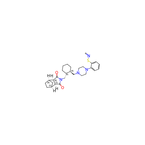 C=NSc1ccccc1N1CCN(C[C@@H]2CCCC[C@H]2CN2C(=O)[C@@H]3[C@@H]4CC[C@@H](C4)[C@@H]3C2=O)CC1